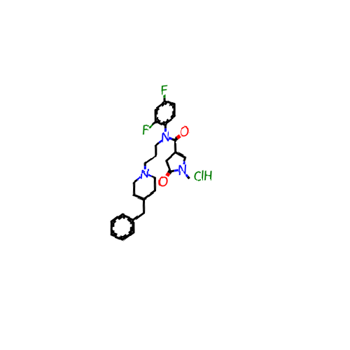 CN1CC(C(=O)N(CCCN2CCC(Cc3ccccc3)CC2)c2ccc(F)cc2F)CC1=O.Cl